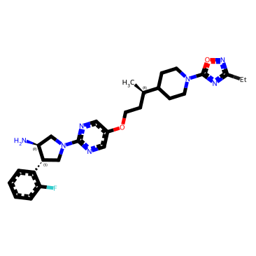 CCc1noc(N2CCC([C@H](C)CCOc3cnc(N4C[C@H](c5ccccc5F)[C@@H](N)C4)nc3)CC2)n1